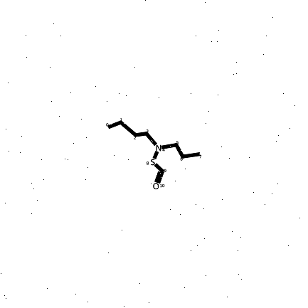 CCCCN(CCC)S[C]=O